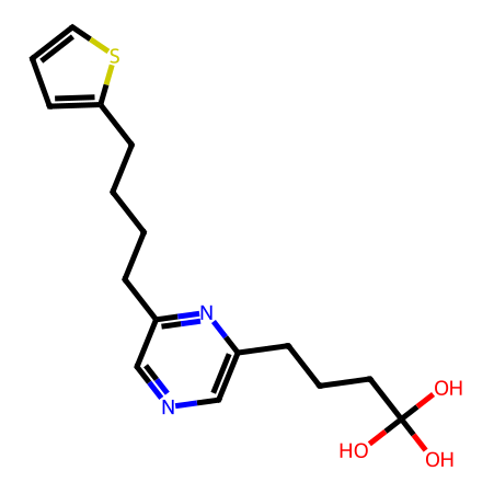 OC(O)(O)CCCc1cncc(CCCCc2cccs2)n1